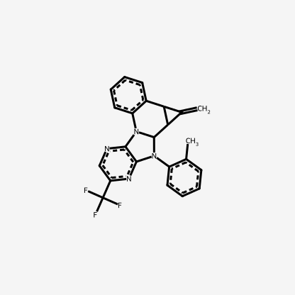 C=C1C2c3ccccc3N3c4ncc(C(F)(F)F)nc4N(c4ccccc4C)C3C12